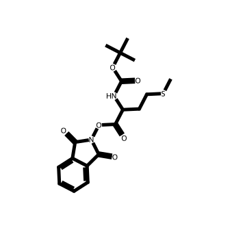 CSCCC(NC(=O)OC(C)(C)C)C(=O)ON1C(=O)c2ccccc2C1=O